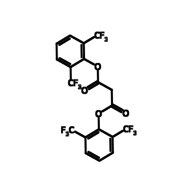 O=C(CC(=O)Oc1c(C(F)(F)F)cccc1C(F)(F)F)Oc1c(C(F)(F)F)cccc1C(F)(F)F